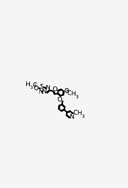 COc1cc(OCc2cccc(-c3ccnc(C)c3)c2)c2cc(-c3cn4nc(OC)sc4n3)oc2c1